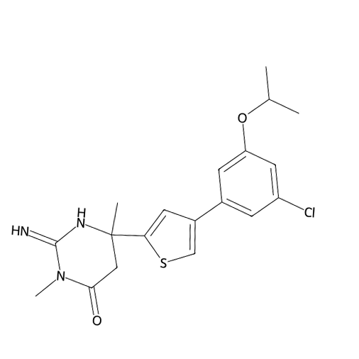 CC(C)Oc1cc(Cl)cc(-c2csc(C3(C)CC(=O)N(C)C(=N)N3)c2)c1